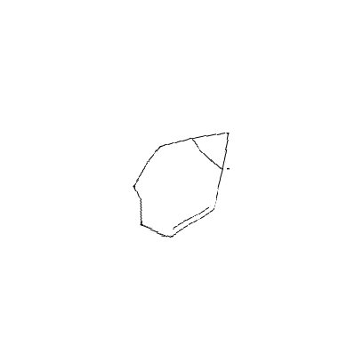 C1=C[C]2CC2CCC1